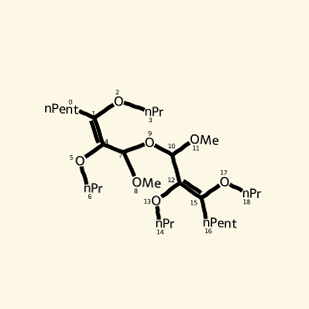 CCCCCC(OCCC)=C(OCCC)C(OC)OC(OC)C(OCCC)=C(CCCCC)OCCC